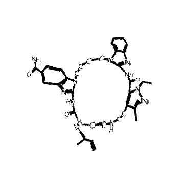 C=C/C(C)=N\N1CCNCCc2c(C)nn(CC)c2C(=O)Nc2nc3ccccc3n2CCCCn2c(nc3cc(C(N)=O)ccc32)NC1=O